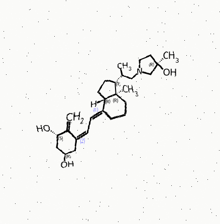 C=C1/C(=C\C=C2/CCC[C@]3(C)[C@@H](C(C)CN4CC[C@@](C)(O)C4)CC[C@@H]23)C[C@@H](O)C[C@@H]1O